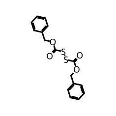 O=C(OCc1ccccc1)SSC(=O)OCc1ccccc1